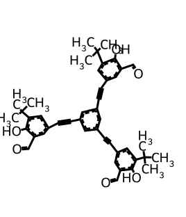 CC(C)(C)c1cc(C#Cc2cc(C#Cc3cc(C=O)c(O)c(C(C)(C)C)c3)cc(C#Cc3cc(C=O)c(O)c(C(C)(C)C)c3)c2)cc(C=O)c1O